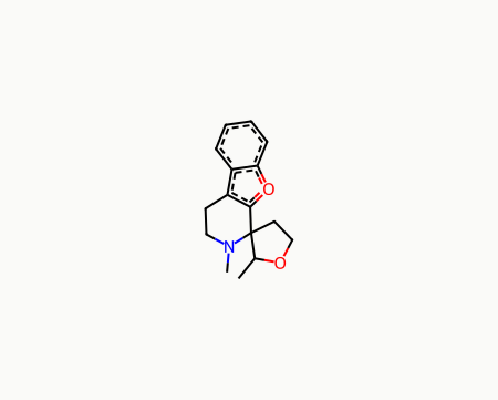 CC1OCCC12c1oc3ccccc3c1CCN2C